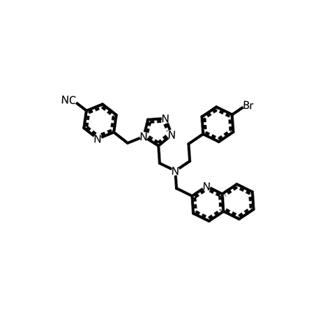 N#Cc1ccc(Cn2cnnc2CN(CCc2ccc(Br)cc2)Cc2ccc3ccccc3n2)nc1